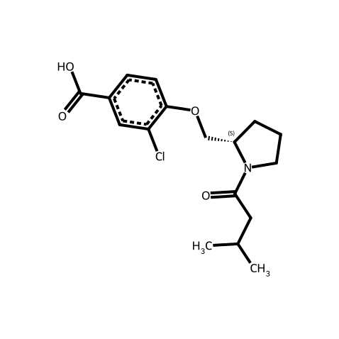 CC(C)CC(=O)N1CCC[C@H]1COc1ccc(C(=O)O)cc1Cl